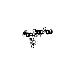 COC(=O)[C@@H](C)OC(=O)OC(C)OC(=O)[C@H](Cc1cccc(S(C)(=O)=O)c1)NC(=O)c1c(Cl)cc2c(c1Cl)CCN(C(=O)c1ccc3ccoc3c1)C2